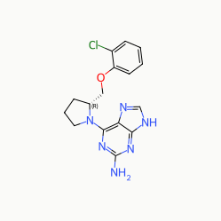 Nc1nc(N2CCC[C@@H]2COc2ccccc2Cl)c2nc[nH]c2n1